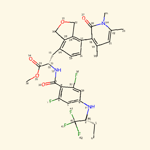 CC[C@@H](Nc1cc(F)c(C(=O)N[C@@H](Cc2ccc(-c3c(C)cc(C)n(C)c3=O)c3c2COC3)C(=O)OC)c(F)c1)C(F)(F)F